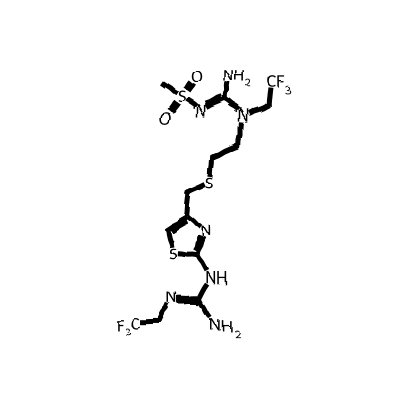 CS(=O)(=O)N=C(N)N(CCSCc1csc(NC(N)=NCC(F)(F)F)n1)CC(F)(F)F